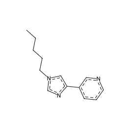 CCCCCn1cnc(-c2cccnc2)c1